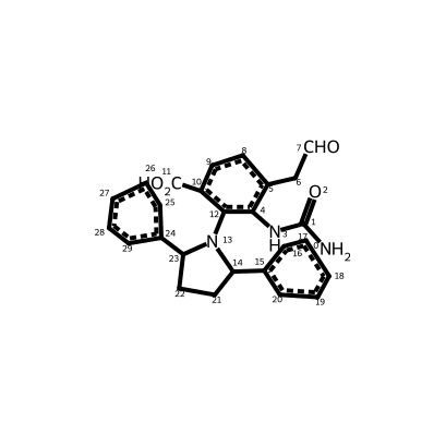 NC(=O)Nc1c(CC=O)ccc(C(=O)O)c1N1C(c2ccccc2)CCC1c1ccccc1